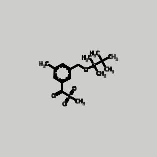 Cc1cc(CO[Si](C)(C)C(C)(C)C)cc(C(=O)S(C)(=O)=O)c1